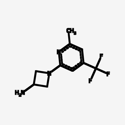 Cc1cc(C(F)(F)F)cc(N2CC(N)C2)n1